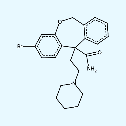 NC(=O)C1(CCN2CCCCC2)c2ccccc2COc2cc(Br)ccc21